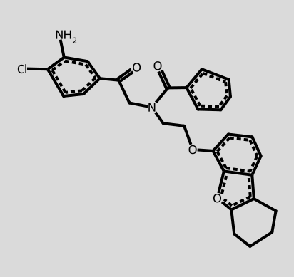 Nc1cc(C(=O)CN(CCOc2cccc3c4c(oc23)CCCC4)C(=O)c2ccccc2)ccc1Cl